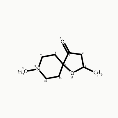 CC1CC(=O)C2(CCN(C)CC2)O1